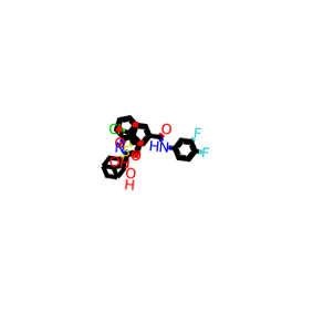 O=C(Nc1ccc(F)c(F)c1)c1ccc(Cl)c(S(=O)(=O)C2CC3CC(C2)C3(O)C(O)c2ccc3ccccc3n2)c1